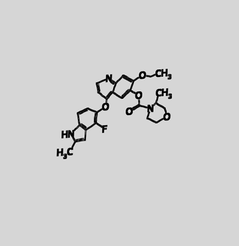 CCOc1cc2nccc(Oc3ccc4[nH]c(C)cc4c3F)c2cc1OC(=O)N1CCOCC1C